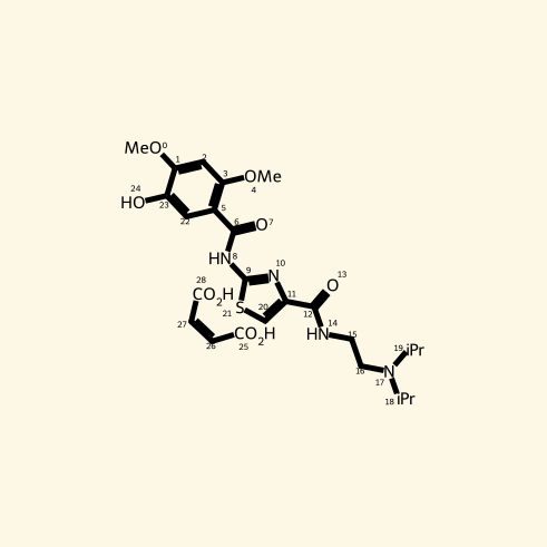 COc1cc(OC)c(C(=O)Nc2nc(C(=O)NCCN(C(C)C)C(C)C)cs2)cc1O.O=C(O)/C=C\C(=O)O